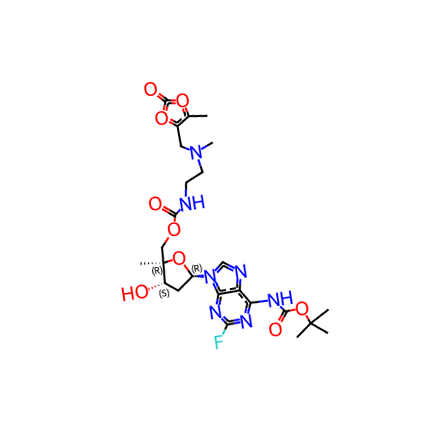 Cc1oc(=O)oc1CN(C)CCNC(=O)OC[C@@]1(C)O[C@@H](n2cnc3c(NC(=O)OC(C)(C)C)nc(F)nc32)C[C@@H]1O